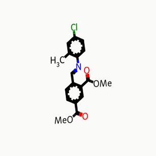 COC(=O)c1ccc(C=Nc2ccc(Cl)cc2C)c(C(=O)OC)c1